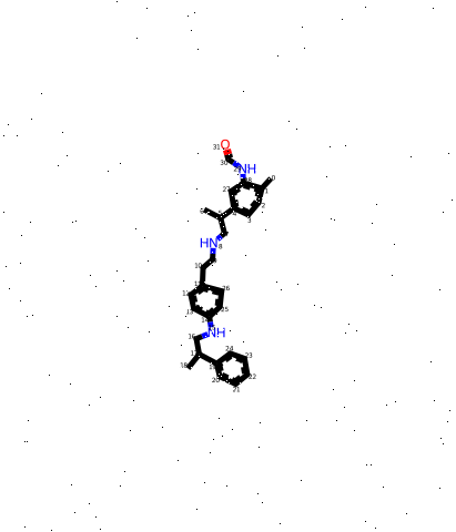 Cc1ccc(C(C)CNCCc2ccc(NCC(C)c3ccccc3)cc2)cc1NC=O